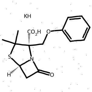 CC1(C)S[C@@H]2CC(=O)N2[C@@]1(COc1ccccc1)C(=O)O.[KH]